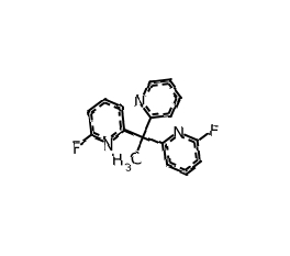 CC(c1ccccn1)(c1cccc(F)n1)c1cccc(F)n1